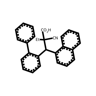 CCC(C#N)(C(=O)O)C(c1ccccc1-c1ccccc1)c1cccc2ccccc12